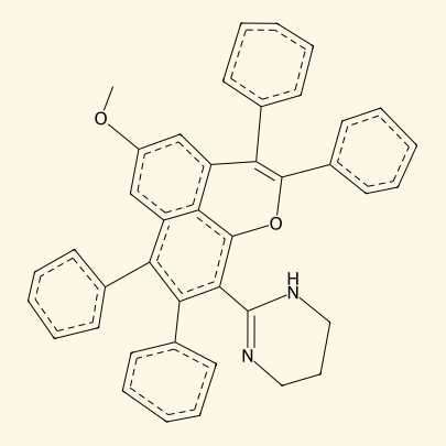 COc1cc2c3c(c(C4=NCCCN4)c(-c4ccccc4)c(-c4ccccc4)c3c1)OC(c1ccccc1)=C2c1ccccc1